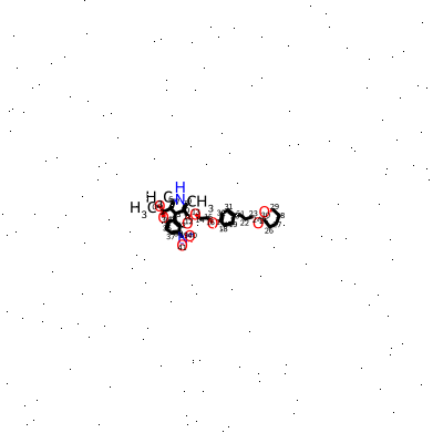 COC(=O)C1=C(C)NC(C)=C(C(=O)OCCOc2ccc(CCCOC3CCCCO3)cc2)C1c1cccc([N+](=O)[O-])c1